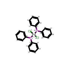 [Cl][Pd]([Cl])([P](c1ccccc1)c1ccccc1)[P](c1ccccc1)c1ccccc1